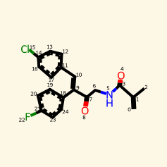 C=C(C)C(=O)NCC(=O)/C(=C/c1ccc(Cl)cc1)c1ccc(F)cc1